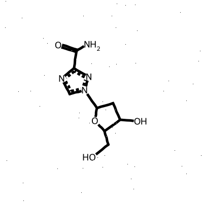 NC(=O)c1ncn(C2CC(O)C(CO)O2)n1